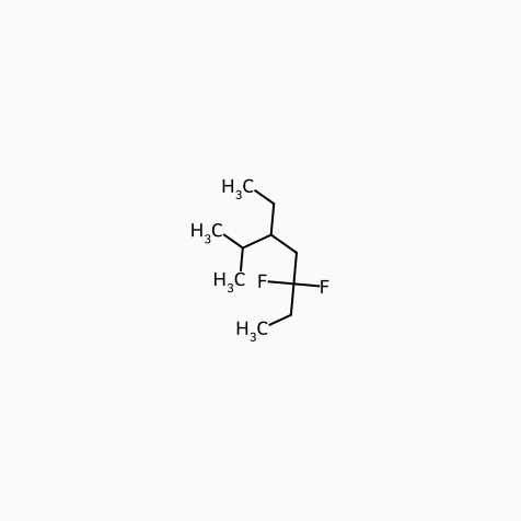 CCC(CC(F)(F)CC)C(C)C